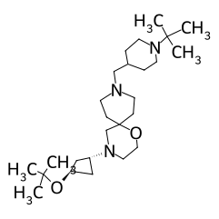 CC(C)(C)O[C@H]1C[C@H](N2CCOC3(CCN(CC4CCN(C(C)(C)C)CC4)CC3)C2)C1